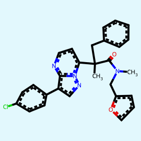 CN(Cc1ccco1)C(=O)C(C)(Cc1ccccc1)c1ccnc2c(-c3ccc(Cl)cc3)cnn12